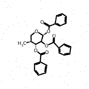 C[C@H]1CO[C@@H](OC(=O)c2ccccc2)C(OC(=O)c2ccccc2)[C@@H]1OC(=O)c1ccccc1